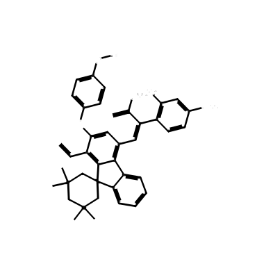 C=Cc1c(Oc2ccc(OCCC)cc2)cc(/C=C(\C(=C)OC)c2ccc(OC)cc2OC)c2c1C1(CC(C)(C)CC(C)(C)C1)c1ccccc1-2